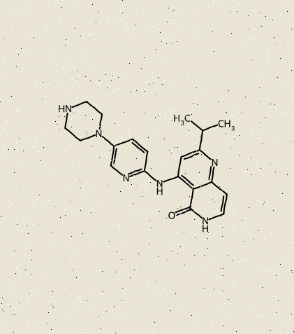 CC(C)c1cc(Nc2ccc(N3CCNCC3)cn2)c2c(=O)[nH]ccc2n1